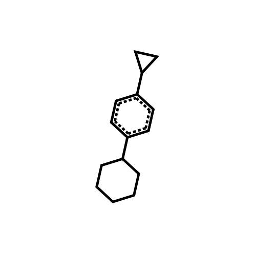 c1cc(C2CC2)ccc1[C]1CCCCC1